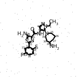 CCn1ncc(NC(=O)c2nc(-c3cc(F)ccc3F)sc2N)c1N1CCCC(N)CC1